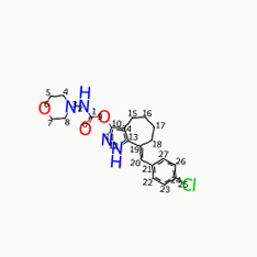 O=C(NN1CCOCC1)Oc1n[nH]c2c1CCCC/C2=C\c1ccc(Cl)cc1